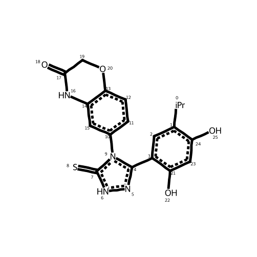 CC(C)c1cc(-c2n[nH]c(=S)n2-c2ccc3c(c2)NC(=O)CO3)c(O)cc1O